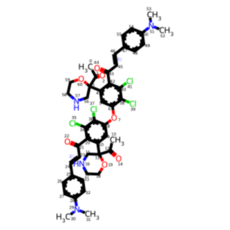 CC(=O)C1(c2cc(Oc3cc(C4(C(C)=O)CNCCO4)c(C(=O)/C=C/c4ccc(N(C)C)cc4)c(Cl)c3Cl)c(Cl)c(Cl)c2C(=O)/C=C/c2ccc(N(C)C)cc2)CNCCO1